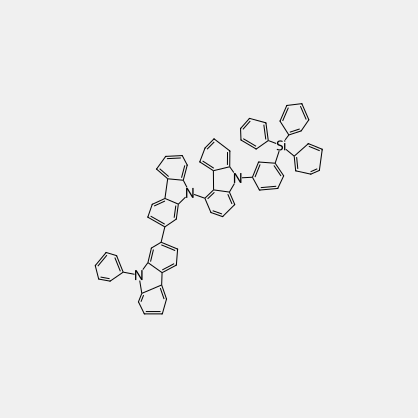 c1ccc(-n2c3ccccc3c3ccc(-c4ccc5c6ccccc6n(-c6cccc7c6c6ccccc6n7-c6cccc([Si](c7ccccc7)(c7ccccc7)c7ccccc7)c6)c5c4)cc32)cc1